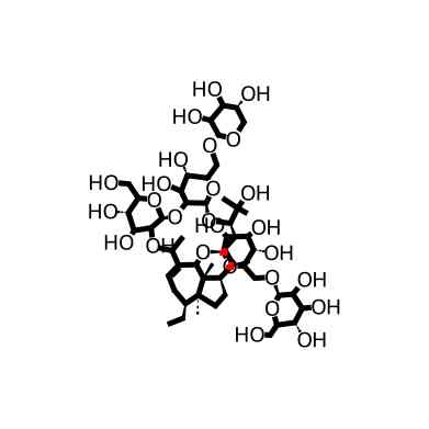 CC[C@H]1CC=C(C(C)C)C(O[C@@H]2OC(CO[C@@H]3OC(CO)[C@@H](O)C(O)C3O)[C@@H](O)C(O)C2O)[C@]2(C)[C@@H]([C@H](C)CC[C@@H](O[C@@H]3OC(CO[C@@H]4OC[C@@H](O)C(O)C4O)[C@@H](O)C(O)C3O[C@@H]3OC(CO)[C@@H](O)C(O)C3O)C(C)(C)O)CC[C@@]12C